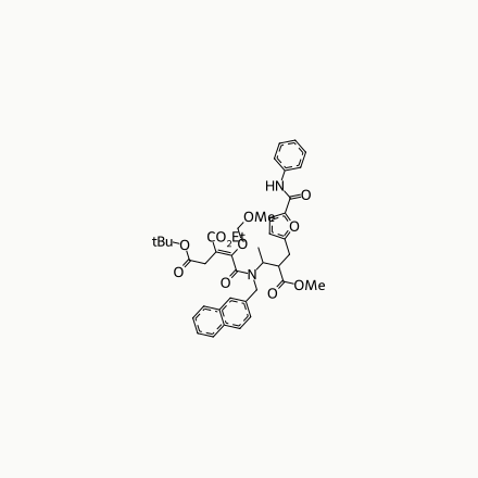 CCOC(=O)C(CC(=O)OC(C)(C)C)=C(OCOC)C(=O)N(Cc1ccc2ccccc2c1)C(C)C(Cc1ccc(C(=O)Nc2ccccc2)o1)C(=O)OC